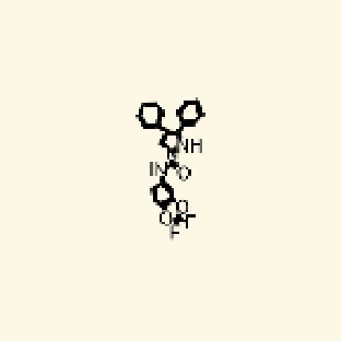 O=C(Nc1ccc2c(c1)OC(F)(F)O2)N1CC(c2ccccc2)=C(c2ccccc2)N1